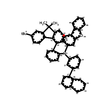 CC(C)(C)c1ccc2c(c1)C(C)(C)c1cccc(-c3ccccc3N(c3cccc(-c4cccc5ccccc45)c3)c3ccc4c(c3)oc3ccccc34)c1-2